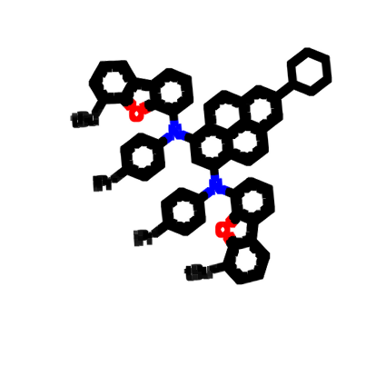 CC(C)c1ccc(N(c2cc(N(c3ccc(C(C)C)cc3)c3cccc4c3oc3c(C(C)(C)C)cccc34)c3ccc4cc(C5CCCCC5)cc5ccc2c3c54)c2cccc3c2oc2c(C(C)(C)C)cccc23)cc1